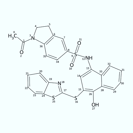 CC(=O)N1CCc2cc(S(=O)(=O)Nc3cc(Sc4nc5ccccc5s4)c(O)c4ccccc34)ccc21